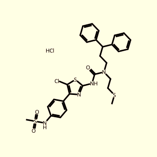 CSCCN(CCC(c1ccccc1)c1ccccc1)C(=O)Nc1nc(-c2ccc(NS(C)(=O)=O)cc2)c(Cl)s1.Cl